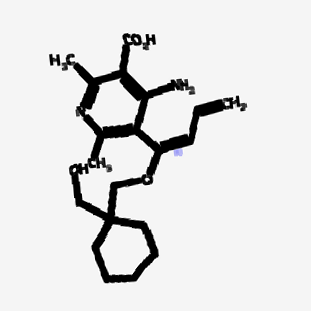 C=C/C=C(/OCC1(CO)CCCCC1)c1c(C)nc(C)c(C(=O)O)c1N